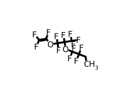 CCC(F)(F)C(F)(F)OC(F)(C(F)(F)F)C(F)(F)OC(F)=C(F)F